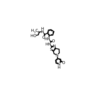 C[C@@H](CO)NC(=O)c1ccccc1NC(=O)Nc1nc2c(s1)CN(c1cc[nH]c(=O)c1)CC2